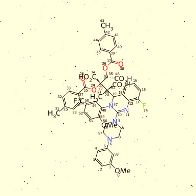 COc1cccc(N2CCN(C3=Nc4c(F)cccc4C([C@@](C)(C(=O)O)[C@@](OC(=O)c4ccc(C)cc4)(C(=O)O)[C@H](OC(=O)c4ccc(C)cc4)C(=O)O)N3c3cc(C(F)(F)F)ccc3OC)CC2)c1